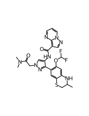 CC1CSc2cc(-c3nn(CC(=O)N(C)C)cc3NC(=O)c3cnn4cccnc34)c(OC(F)F)cc2N1